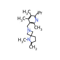 C=C1CCC2(CN(Cc3c(C)nc(C(C)C)c(C)c3C)C2)N1C